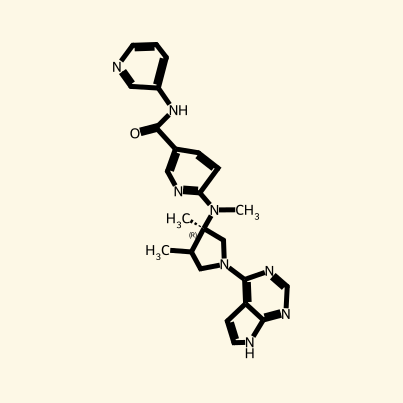 CC1CN(c2ncnc3[nH]ccc23)C[C@]1(C)N(C)c1ccc(C(=O)Nc2cccnc2)cn1